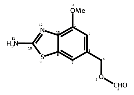 COc1cc(COC=O)cc2sc(N)nc12